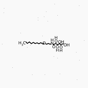 CCCCCCCCCCCOCCCNC(=O)[C@H](O)[C@H](O)[C@@H](O)[C@H](O)CO